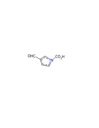 O=Cc1ccn(C(=O)O)c1